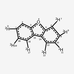 [2H]c1cc2oc3c([2H])c([2H])c([2H])c([2H])c3c2c([2H])c1[2H]